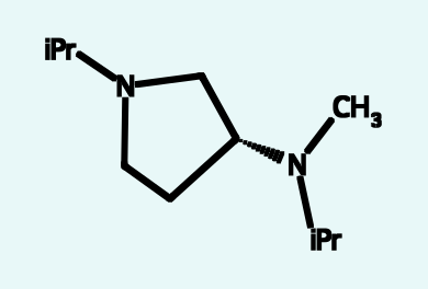 CC(C)N1CC[C@@H](N(C)C(C)C)C1